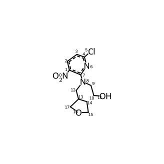 O=[N+]([O-])c1ccc(Cl)nc1N(CCO)CC1CCOC1